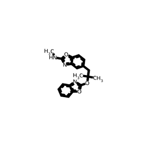 CNc1nc2cc(CC(C)(C)Oc3nc4ccccc4o3)ccc2o1